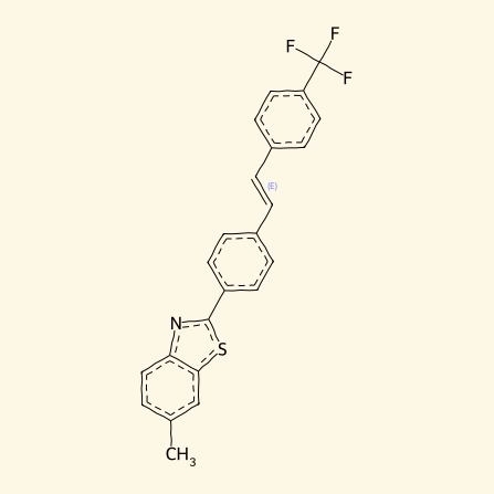 Cc1ccc2nc(-c3ccc(/C=C/c4ccc(C(F)(F)F)cc4)cc3)sc2c1